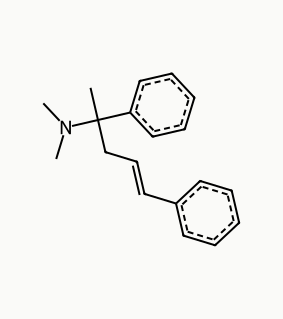 CN(C)C(C)(CC=Cc1ccccc1)c1ccccc1